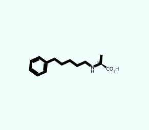 C[C@H](NCCCCCc1ccccc1)C(=O)O